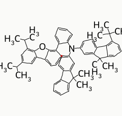 CC(C)c1cc(C(C)C)c2oc3c(-c4ccccc4N(c4ccc5c(c4)C(C)(C)c4ccccc4-5)c4ccc5c(c4)C(C)(C)c4cccc(C(C)(C)C)c4-5)cccc3c2c1